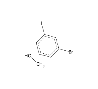 Brc1cccc(I)c1.CO